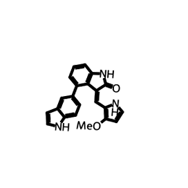 COc1cc[nH]c1C=C1C(=O)Nc2cccc(-c3ccc4[nH]ccc4c3)c21